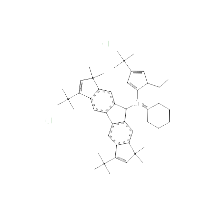 CCC1C=C(C(C)(C)C)C=[C]1[Zr+2](=[C]1CCCCC1)[CH]1c2cc3c(cc2-c2cc4c(cc21)C(C)(C)C=C4C(C)(C)C)C(C(C)(C)C)=CC3(C)C.[Cl-].[Cl-]